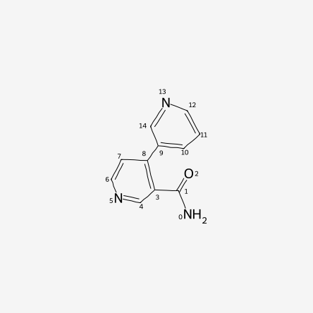 NC(=O)c1cnccc1-c1cccnc1